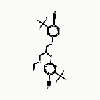 CCOCC(COc1ccc(C#N)c(C(F)(F)F)c1)Oc1ccc(C#N)c(C(F)(F)F)c1